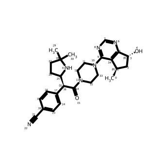 C[C@@H]1C[C@@H](O)c2ncnc(N3CCN(C(=O)[C@@H](c4ccc(C#N)cc4)C4CCC(C)(C)N4)CC3)c21